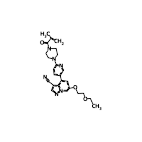 C=C(C)C(=O)N1CCN(c2ccc(-c3cc(OCCOCC)cn4ncc(C#N)c34)cn2)CC1